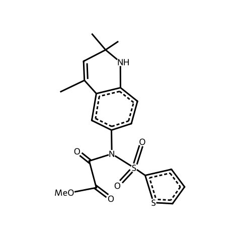 COC(=O)C(=O)N(c1ccc2c(c1)C(C)=CC(C)(C)N2)S(=O)(=O)c1cccs1